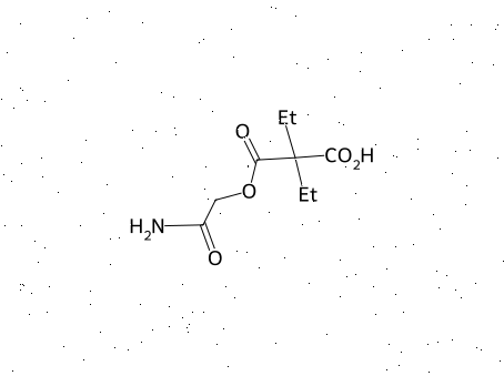 CCC(CC)(C(=O)O)C(=O)OCC(N)=O